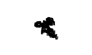 Nc1ncc(-c2nc(N3CCOCC3)nc3c2C[C@H]2COCCN32)c(C(F)F)n1